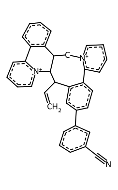 C=CC1c2cc(-c3cccc(C#N)c3)ccc2-c2cccc[n+]2CC2c3ccccc3-c3cccc[n+]3C12